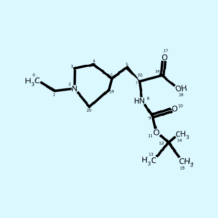 CCN1CCC(C[C@H](NC(=O)OC(C)(C)C)C(=O)O)CC1